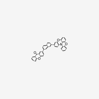 O=c1c2ccccc2oc2ccc(-c3ccc4ccc(-c5ccc6c(c5)Oc5cccc7c5N6c5ccccc5O7)cc4c3)cc12